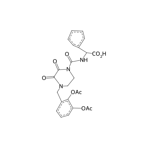 CC(=O)Oc1cccc(CN2CCN(C(=O)NC(C(=O)O)c3ccccc3)C(=O)C2=O)c1OC(C)=O